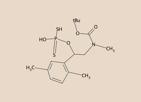 Cc1ccc(C)c(C(CN(C)C(=O)OC(C)(C)C)OP(O)(=S)S)c1